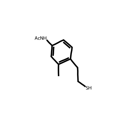 CC(=O)Nc1ccc(CCS)c(C)c1